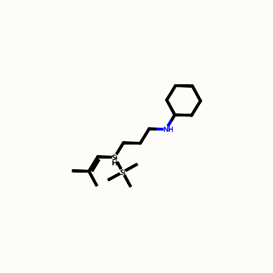 CC(C)=C[SiH](CCCNC1CCCCC1)[Si](C)(C)C